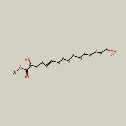 COC(=O)C(O)CCC=CCCCCCCCCCCO